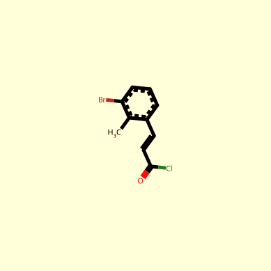 Cc1c(Br)cccc1/C=C/C(=O)Cl